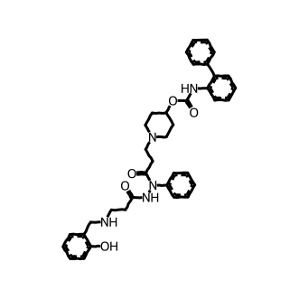 O=C(CCNCc1ccccc1O)NN(C(=O)CCN1CCC(OC(=O)Nc2ccccc2-c2ccccc2)CC1)c1ccccc1